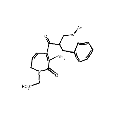 CC(=O)SCC(Cc1ccccc1)C(=O)C1=C(N)C(=O)N(CC(=O)O)CC=C1